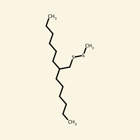 CCCCCCC(CCCCCC)CSSC